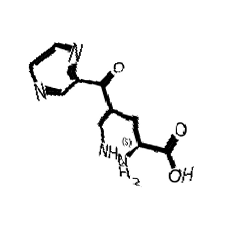 NCC(C[C@H](N)C(=O)O)C(=O)c1cnccn1